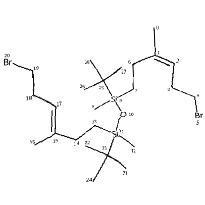 CC(=CCCBr)CC[Si](C)(O[Si](C)(CCC(C)=CCCBr)C(C)(C)C)C(C)(C)C